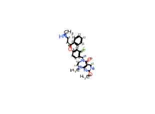 CNCC[C@H](Oc1ccc(CN2CCN(C)c3nc(OC)ncc3C2=O)c(F)c1)c1ccccc1